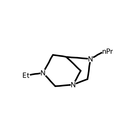 CCCN1CN2CC1CN(CC)C2